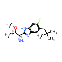 CO[C@H](C)[C@H](N)c1nc2cc(CC(C)(C)C)c(F)cc2[nH]1